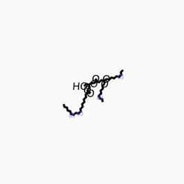 CC/C=C\CCCCOC(CCC(=O)OCC(CO)COC(=O)CCCCCCC/C=C\C/C=C\CCCCC)OCCCC/C=C\CC